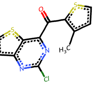 Cc1ccsc1C(=O)c1nc(Cl)nc2ccsc12